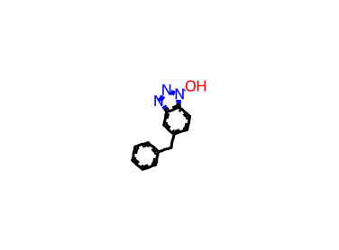 On1nnc2cc(Cc3ccccc3)ccc21